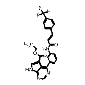 CCOC(=O)c1c[nH]c2ncnc(-c3cccc(NC(=O)/C=C/c4ccc(C(F)(F)F)cc4)c3)c12